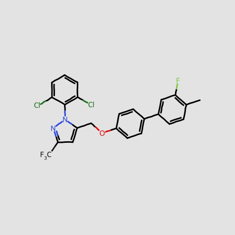 Cc1ccc(-c2ccc(OCc3cc(C(F)(F)F)nn3-c3c(Cl)cccc3Cl)cc2)cc1F